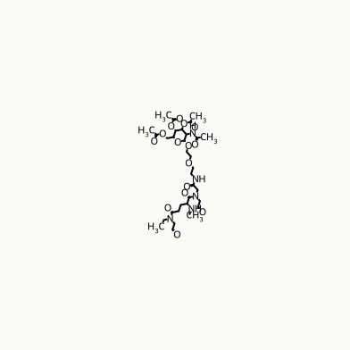 CCN(CC=O)C(=O)CCC(NC)C(=O)N(CC=O)CC(=O)NCCOCCOC1OC(COC(C)=O)C(OC(C)=O)C(OC(C)=O)C1NC(C)=O